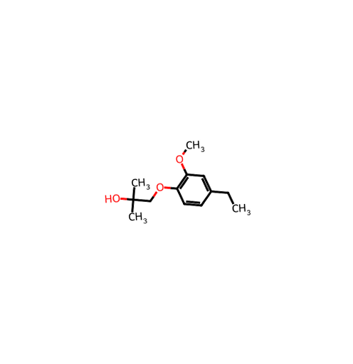 CCc1ccc(OCC(C)(C)O)c(OC)c1